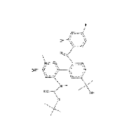 CN(C(=O)OC(C)(C)C)c1cc(=O)n(C)cc1-c1cc(C(C)(C)O)ccc1C(=O)c1ccc(F)cc1Cl